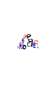 CCN(CC)C(=O)c1ccc(Cc2ccccc2OCCN2CCC(N3C(=O)NCc4ccccc43)CC2)cc1